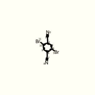 N#Cc1cc(Br)c(C#N)cc1Br